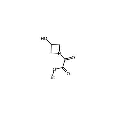 CCOC(=O)C(=O)N1CC(O)C1